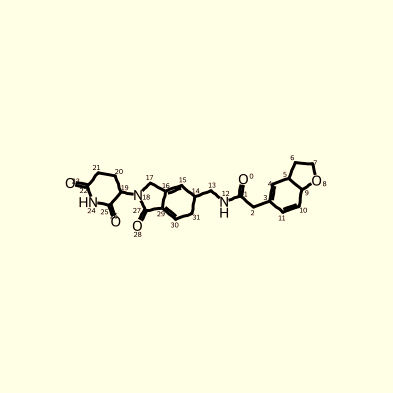 O=C(CC1=CC2CCOC2C=C1)NCC1C=C2CN(C3CCC(=O)NC3=O)C(=O)C2=CC1